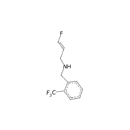 FC=CCNCc1ccccc1C(F)(F)F